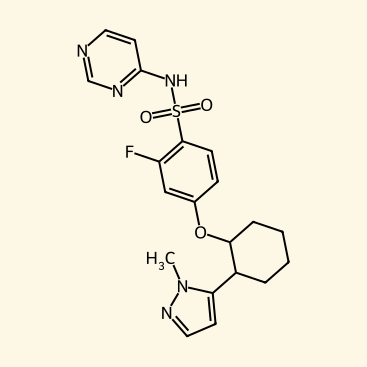 Cn1nccc1C1CCCCC1Oc1ccc(S(=O)(=O)Nc2ccncn2)c(F)c1